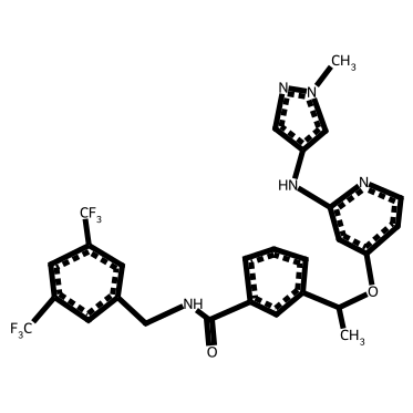 CC(Oc1ccnc(Nc2cnn(C)c2)c1)c1cccc(C(=O)NCc2cc(C(F)(F)F)cc(C(F)(F)F)c2)c1